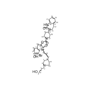 O=C(O)CCN1CCC(C=C=C=NC(=O)[C@@H](Cc2ccc(O)c(Br)c2)OC(=O)N2CCC(N3CCc4ccccc4NC3=O)CC2)CC1